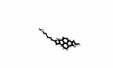 COCCCCCc1cc2c(s1)-c1ccc3c4c(ccc-2c14)-c1sc(C)cc1-3